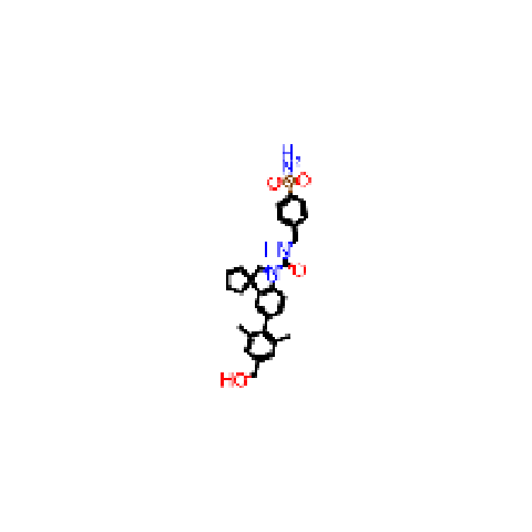 Cc1cc(CO)cc(C)c1-c1ccc2c(c1)C1(CCCC1)CN2C(=O)NCc1ccc(S(N)(=O)=O)cc1